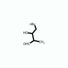 CCCCCC(O)C(C)C=O